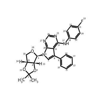 CC1(C)O[C@H]2[C@H](n3cc(-c4ccccc4)c4c(Nc5ccc(F)cc5)ncnc43)OC[C@H]2O1